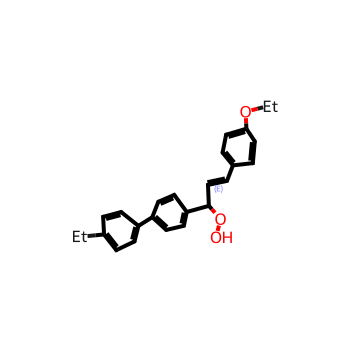 CCOc1ccc(/C=C/C(OO)c2ccc(-c3ccc(CC)cc3)cc2)cc1